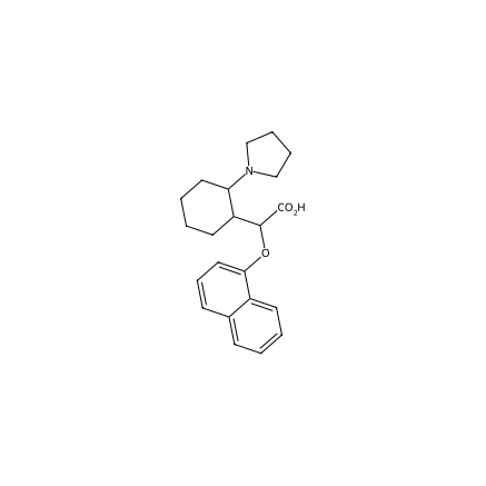 O=C(O)C(Oc1cccc2ccccc12)C1CCCCC1N1CCCC1